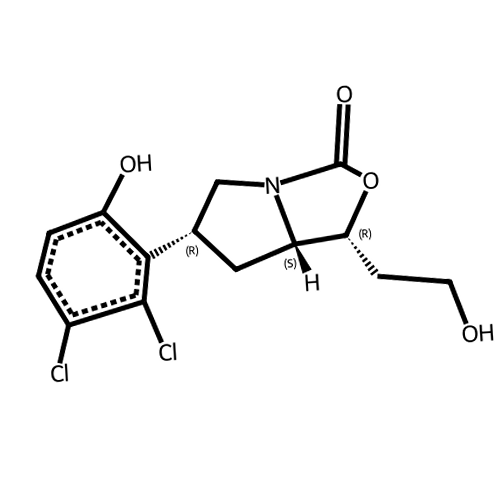 O=C1O[C@H](CCO)[C@@H]2C[C@H](c3c(O)ccc(Cl)c3Cl)CN12